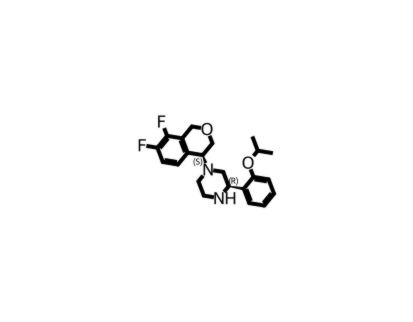 CC(C)Oc1ccccc1[C@@H]1CN([C@@H]2COCc3c2ccc(F)c3F)CCN1